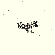 CCS(=O)(=O)CCc1nc2c3cc(F)c(OC)cc3nc(N)n2n1